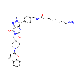 C[C@H](CC(=O)N1CCC(O)(Cn2cnc3c(-c4ccc(CNC(=O)CCCCCCCN)cc4)n(C)nc3c2=O)CC1)c1ccccc1